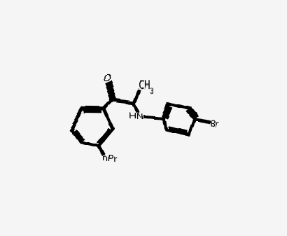 CCCc1cccc(C(=O)C(C)Nc2ccc(Br)cc2)c1